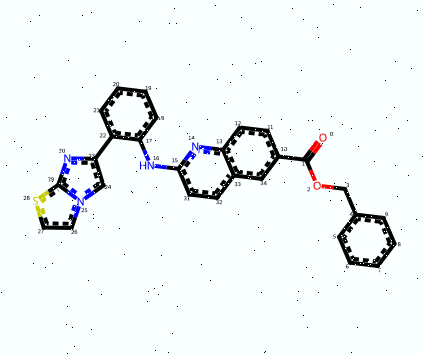 O=C(OCc1ccccc1)c1ccc2nc(Nc3ccccc3-c3cn4ccsc4n3)ccc2c1